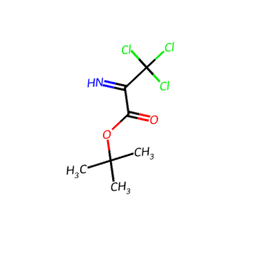 CC(C)(C)OC(=O)C(=N)C(Cl)(Cl)Cl